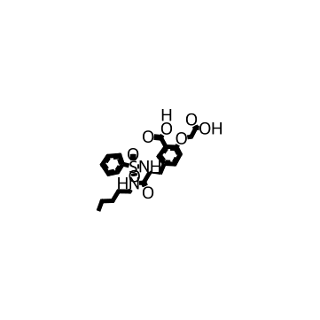 CCCCCNC(=O)[C@H](Cc1ccc(OCC(=O)O)c(C(=O)O)c1)NS(=O)(=O)c1ccccc1